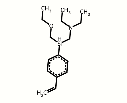 C=Cc1ccc([SiH](COCC)CN(CC)CC)cc1